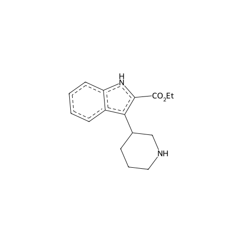 CCOC(=O)c1[nH]c2ccccc2c1C1CCCNC1